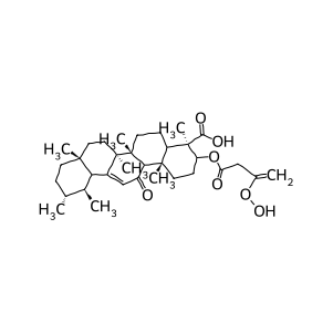 C=C(CC(=O)OC1CC[C@@]2(C)C(CC[C@]3(C)C2C(=O)C=C2C4[C@@H](C)[C@H](C)CC[C@]4(C)CC[C@]23C)[C@@]1(C)C(=O)O)OO